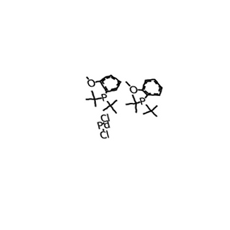 COc1ccccc1P(C(C)(C)C)C(C)(C)C.COc1ccccc1P(C(C)(C)C)C(C)(C)C.[Cl][Pd][Cl]